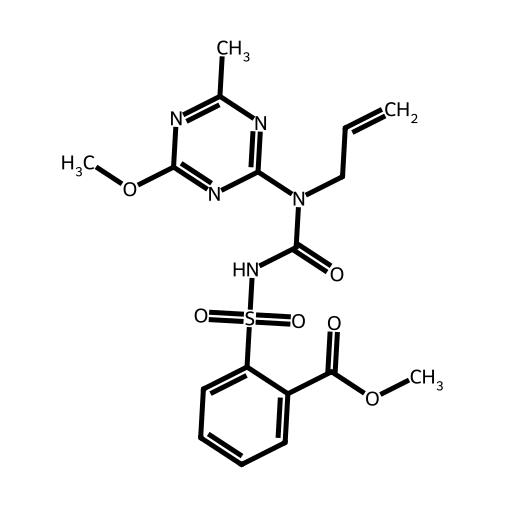 C=CCN(C(=O)NS(=O)(=O)c1ccccc1C(=O)OC)c1nc(C)nc(OC)n1